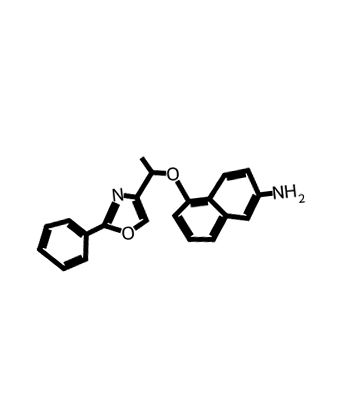 CC(Oc1cccc2cc(N)ccc12)c1coc(-c2ccccc2)n1